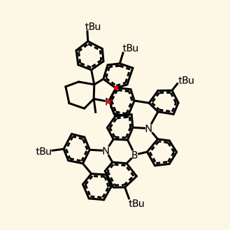 CC(C)(C)c1ccc(C23CCCCC2(C)N(c2cc4c5c(c2)N(c2ccc(C(C)(C)C)cc2-c2ccccc2)c2ccc(C(C)(C)C)cc2B5c2ccccc2N4c2ccc(C(C)(C)C)cc2-c2ccccc2)c2ccc(C(C)(C)C)cc23)cc1